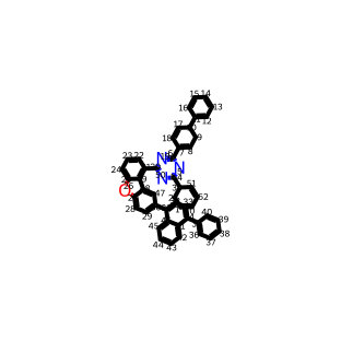 C1=CCC(c2nc(C3=CCC(c4ccccc4)C=C3)nc(-c3cccc4oc5ccc(-c6ccc(-c7ccccc7)c7ccccc67)cc5c34)n2)C=C1